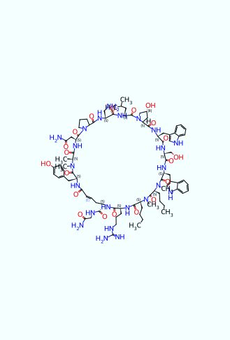 CCCC[C@H]1C(=O)N(C)[C@@H](CCCC)C(=O)N[C@@H](CCCNC(=N)N)C(=O)N[C@H](C(=O)NCC(N)=O)C/C=C/C(=O)N[C@@H](Cc2ccc(O)cc2)C(=O)N(C)[C@@H](C)C(=O)N[C@@H](CC(N)=O)C(=O)N2CCCC2C(=O)N[C@@H](CN)C(=O)N[C@@H](CC(C)C)C(=O)N2C[C@H](O)C[C@H]2C(=O)N[C@@H](Cc2c[nH]c3ccccc23)C(=O)N[C@@H](CO)C(=O)N[C@@H](Cc2c[nH]c3ccccc23)C(=O)N1C